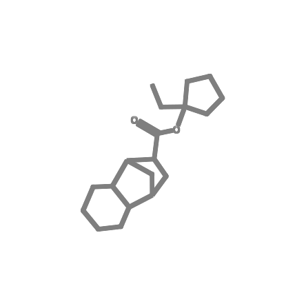 CCC1(OC(=O)C2CC3CC2C2CCCCC32)CCCC1